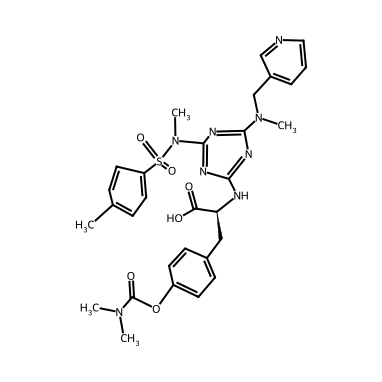 Cc1ccc(S(=O)(=O)N(C)c2nc(N[C@@H](Cc3ccc(OC(=O)N(C)C)cc3)C(=O)O)nc(N(C)Cc3cccnc3)n2)cc1